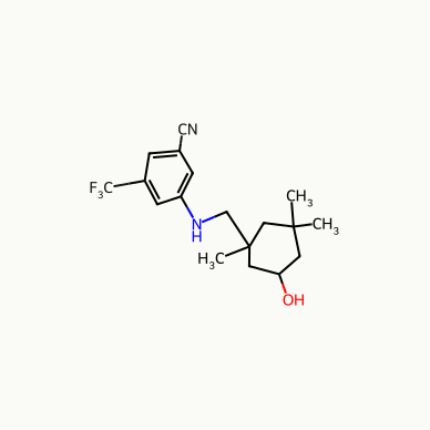 CC1(C)CC(O)CC(C)(CNc2cc(C#N)cc(C(F)(F)F)c2)C1